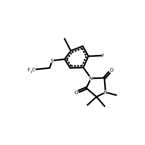 Cc1cc(F)c(N2C(=O)N(C)C(C)(C)C2=O)cc1SCC(F)(F)F